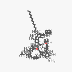 CCCCCCCCCCCCCNCc1c(O)cc2c3c1C(O)(O)c1ccc(cc1-3)[C@H]1NC(=O)[C@@H]3NC(=O)[C@H](CC(N)=O)NC(=O)[C@H](NC(=O)[C@@H](CC(C)C)NC)[C@H](O)c4ccc(c(C)c4)Oc4cc3cc(c4O[C@@H]3O[C@H](CN)[C@@H](O)[C@H](O)[C@H]3O)Oc3ccc(cc3Cl)[C@@H](O)[C@H](NC1=O)C(=O)N[C@@H]2C(=O)NC1C2CC3CC(C2)CC1C3